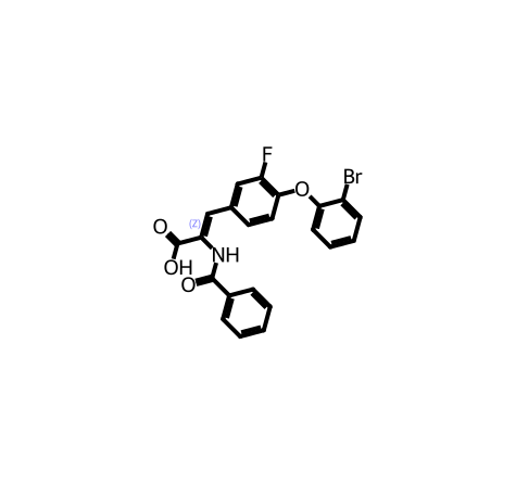 O=C(O)/C(=C/c1ccc(Oc2ccccc2Br)c(F)c1)NC(=O)c1ccccc1